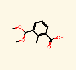 COC(OC)c1cccc(C(=O)O)c1C